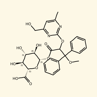 COC(c1ccccc1)(c1ccccc1)C(Oc1nc(C)cc(CO)n1)C(=O)O[C@@H]1O[C@H](C(=O)O)[C@@H](O)[C@H](O)[C@H]1O